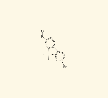 CC1(C)c2cc(Br)ccc2-c2ccc(P=O)cc21